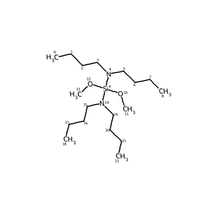 CCCCN(CCCC)[Si](OC)(OC)N(CCCC)CCCC